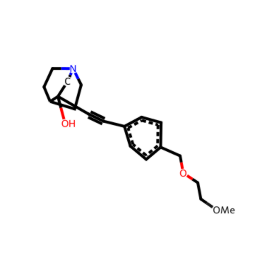 COCCOCc1ccc(C#CC2(O)CN3CCC2CC3)cc1